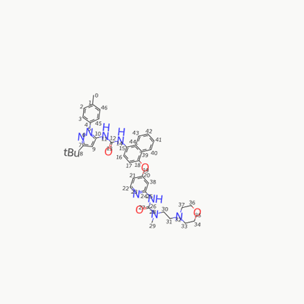 Cc1ccc(-n2nc(C(C)(C)C)cc2NC(=O)Nc2ccc(Oc3ccnc(NC(=O)N(C)CCN4CCOCC4)c3)c3ccccc23)cc1